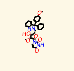 COc1ccc(C(NC[C@H]2O[C@@H](n3ccc(=O)[nH]c3=O)[C@H](OC)[C@@H]2O)(c2ccccc2)c2ccccc2)cc1